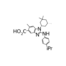 Cc1cc2c(cc1C(=O)O)nc(Nc1ccc(C(C)C)cc1)n2[C@H]1C[C@@H](C)CC(C)(C)C1